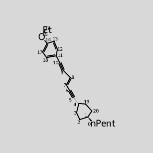 CCCCC[C@H]1CC[C@H](C#C/C=C/C#Cc2ccc(OCC)cc2)CC1